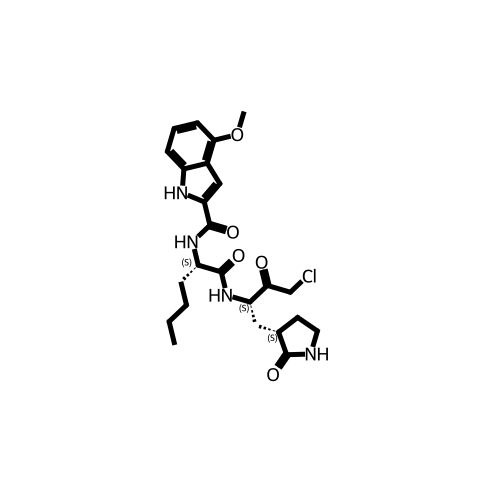 CCCC[C@H](NC(=O)c1cc2c(OC)cccc2[nH]1)C(=O)N[C@@H](C[C@@H]1CCNC1=O)C(=O)CCl